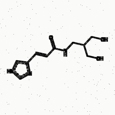 O=C(/C=C/c1c[nH]cn1)NCC(CO)CO